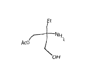 CCC(N)(CO)COC(C)=O